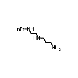 [CH2]CCNCCNCCCN